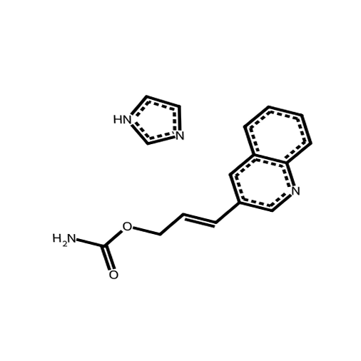 NC(=O)OCC=Cc1cnc2ccccc2c1.c1c[nH]cn1